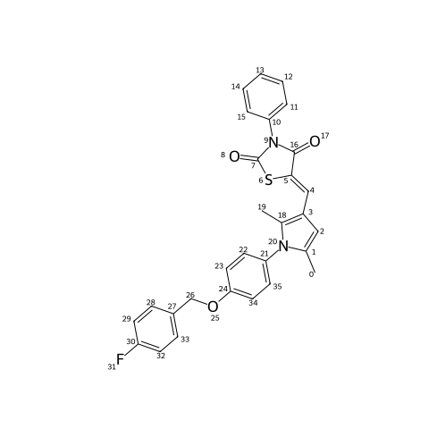 Cc1cc(C=C2SC(=O)N(c3ccccc3)C2=O)c(C)n1-c1ccc(OCc2ccc(F)cc2)cc1